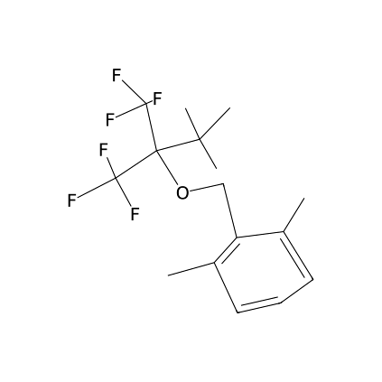 Cc1cccc(C)c1COC(C(C)(C)C)(C(F)(F)F)C(F)(F)F